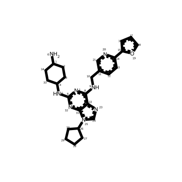 NC1CCC(Nc2nc(NCc3ccc(-c4ccco4)nc3)c3ncn(C4CCCC4)c3n2)CC1